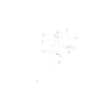 C=CCCCCCCO[C@@H]1OC(CO)[C@@H](O[C@@H]2OC(CO)[C@H](O)C(O[C@H]3CC(CO)[C@H](O)[C@H](O)C3O)[C@@H]2O[C@@H]2OC(C)[C@@H](O)C(O)[C@@H]2O)C(O)[C@@H]1O